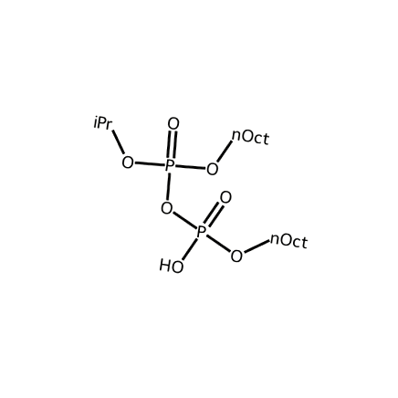 CCCCCCCCOP(=O)(O)OP(=O)(OCCCCCCCC)OC(C)C